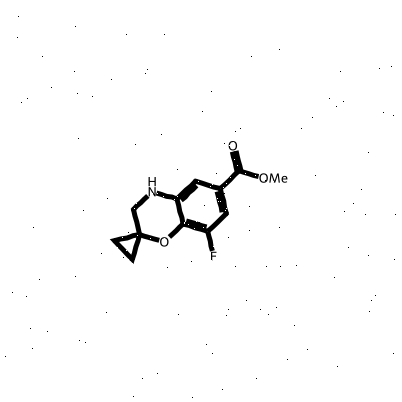 COC(=O)c1cc(F)c2c(c1)NCC1(CC1)O2